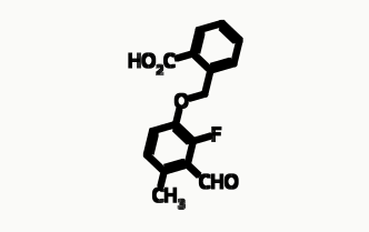 Cc1ccc(OCc2ccccc2C(=O)O)c(F)c1C=O